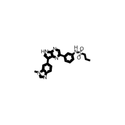 CCCS(=O)(=O)Nc1cccc(-c2cnc3[nH]cc(-c4ccc5ncn(C)c5c4)c3n2)c1